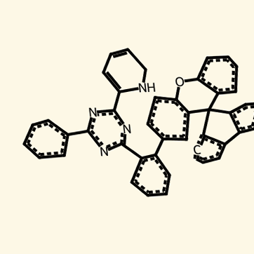 C1=CCNC(c2nc(-c3ccccc3)nc(-c3ccccc3-c3ccc4c(c3)C3(c5ccccc5O4)c4ccccc4-c4ccccc43)n2)=C1